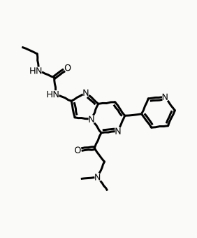 CCNC(=O)Nc1cn2c(C(=O)CN(C)C)nc(-c3cccnc3)cc2n1